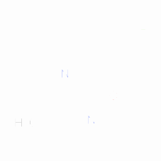 Cc1noc(CF)n1